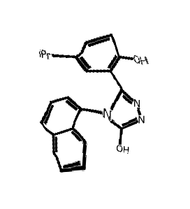 CC(C)c1ccc(O)c(-c2nnc(O)n2-c2cccc3ccccc23)c1